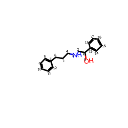 OC(CNCCCc1ccccc1)c1ccccc1